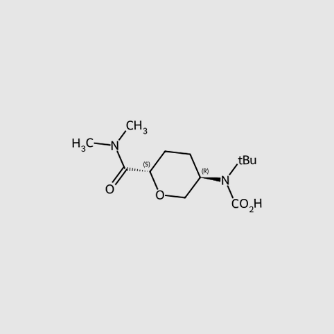 CN(C)C(=O)[C@@H]1CC[C@@H](N(C(=O)O)C(C)(C)C)CO1